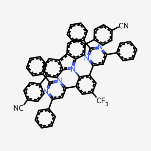 N#Cc1ccc(-c2ccc3c4ccc(-c5ccc(C#N)cc5)cc4n(-c4c(-c5cc(-c6ccccc6)nc(-c6ccccc6)n5)cc(C(F)(F)F)cc4-c4cc(-c5ccccc5)nc(-c5ccccc5)n4)c3c2)cc1